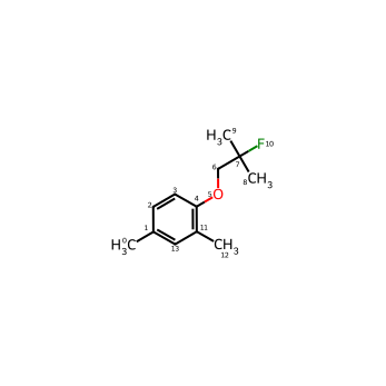 Cc1ccc(OCC(C)(C)F)c(C)c1